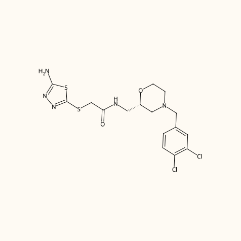 Nc1nnc(SCC(=O)NC[C@H]2CN(Cc3ccc(Cl)c(Cl)c3)CCO2)s1